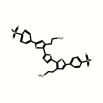 CS(=O)(=O)c1ccc(-c2cc(CCC(=O)O)c(-c3ccc(-c4sc(-c5ccc(S(C)(=O)=O)cc5)cc4CCC(=O)O)s3)s2)cc1